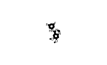 COc1cc2ncnc(Nc3cc(F)cc(F)c3)c2cc1OC